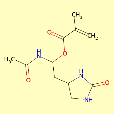 C=C(C)C(=O)OC(CC1CNC(=O)N1)NC(C)=O